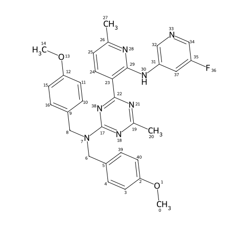 COc1ccc(CN(Cc2ccc(OC)cc2)c2nc(C)nc(-c3ccc(C)nc3Nc3cncc(F)c3)n2)cc1